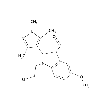 COc1ccc2c(c1)C(C=O)C(c1c(C)nn(C)c1C)N2CCCl